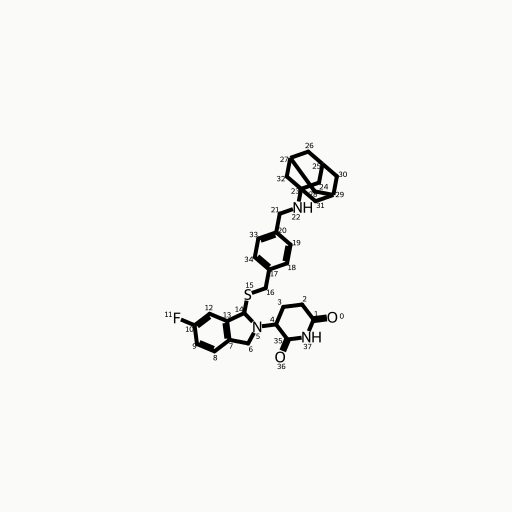 O=C1CCC(N2Cc3ccc(F)cc3C2SCc2ccc(CNC34CC5CC(CC(C5)C3)C4)cc2)C(=O)N1